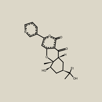 CCC(C)(O)[C@H]1C[C@@H](O)[C@]2(C)Oc3cc(-c4cccnc4)oc(=O)c3C(=O)[C@@H]2C1